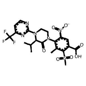 Cc1c(N2CCN(c3nccc(C(F)(F)F)n3)C(C(C)C)C2=O)c([N+](=O)[O-])cc(C(=O)O)c1S(C)(=O)=O